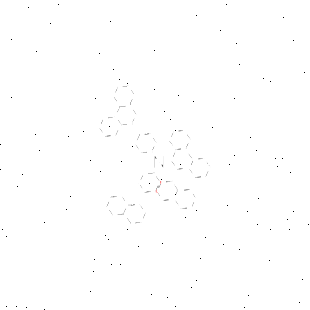 c1ccc2c(-c3ccc(N(c4ccc(-c5cc6ccccc6c6ccccc56)cc4)c4c(-c5cccc6ccccc56)c5ccccc5c5ccccc45)cc3)cccc2c1